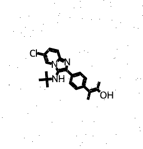 C/C(O)=C(/C)c1ccc(-c2nc3ccc(Cl)cn3c2NC(C)(C)C)cc1